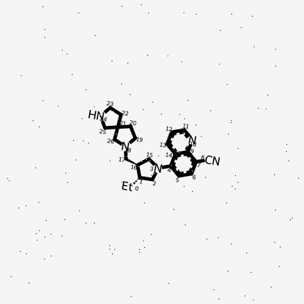 CC[C@H]1CN(c2ccc(C#N)c3ncccc23)C[C@@H]1CN1CCC2(CCNC2)C1